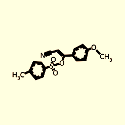 COc1ccc(C(=CC#N)OS(=O)(=O)c2ccc(C)cc2)cc1